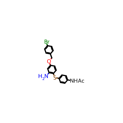 CC(=O)Nc1ccc(Sc2ccc(OCc3ccc(Br)cc3)cc2N)cc1